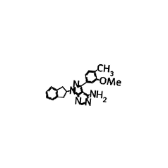 COc1cc(-c2nn(C3Cc4ccccc4C3)c3ncnc(N)c23)ccc1C